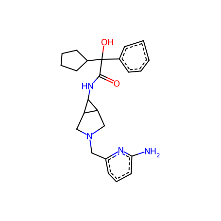 Nc1cccc(CN2CC3C(C2)C3NC(=O)C(O)(c2ccccc2)C2CCCC2)n1